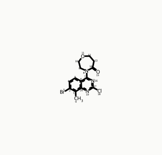 Cc1c(Br)ccc2c(N3CCOCCC3=O)nc(Cl)nc12